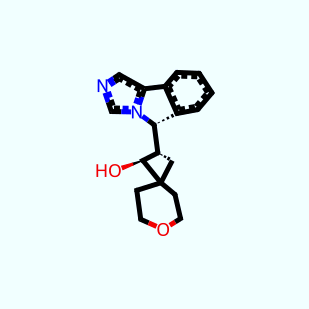 O[C@H]1[C@H]([C@H]2c3ccccc3-c3cncn32)CC12CCOCC2